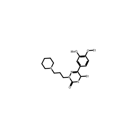 CCOc1ccc(C2=NN(CCCN3CCCCC3)C(=O)SC2CC)cc1OC